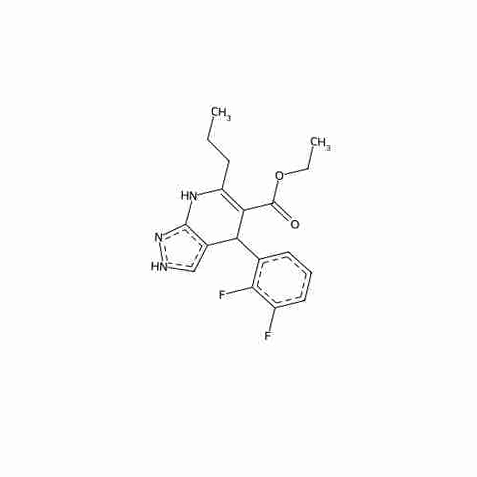 CCCC1=C(C(=O)OCC)C(c2cccc(F)c2F)c2c[nH]nc2N1